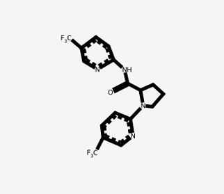 O=C(Nc1ccc(C(F)(F)F)cn1)C1CCCN1c1ccc(C(F)(F)F)cn1